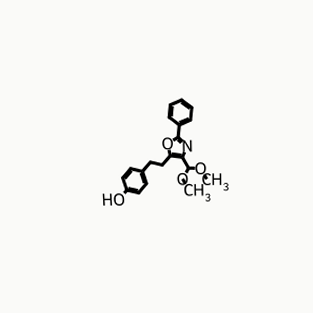 COC(OC)c1nc(-c2ccccc2)oc1CCc1ccc(O)cc1